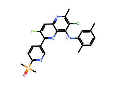 Cc1ccc(C)c(Nc2c(Cl)c(C)nc3cc(F)c(-c4ccc(P(C)(C)=O)nc4)nc23)c1